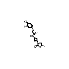 C[C@@H]1CN(C23CC(NC(=O)COc4ccc(Cl)c(F)c4)(C2)C3)C(=O)O1